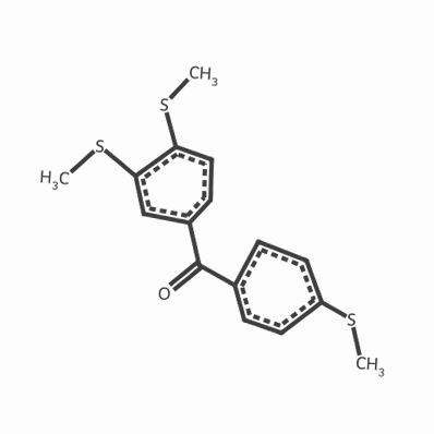 CSc1ccc(C(=O)c2ccc(SC)c(SC)c2)cc1